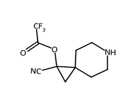 N#CC1(OC(=O)C(F)(F)F)CC12CCNCC2